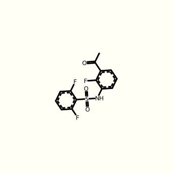 CC(=O)c1cccc(NS(=O)(=O)c2c(F)cccc2F)c1F